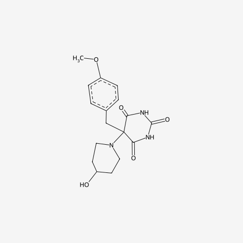 COc1ccc(CC2(N3CCC(O)CC3)C(=O)NC(=O)NC2=O)cc1